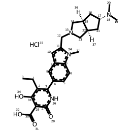 CCc1c(-c2ccc3c(c2)cc(CN2C[C@H]4C[C@H](N(C)C)C[C@H]4C2)n3C)[nH]c(=O)c(C(=O)O)c1O.Cl